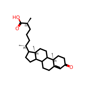 C[C@H](CCC[C@H](C)C(=O)O)C1CCC2C3CCC4=CC(=O)CC[C@]4(C)C3CC[C@@]21C